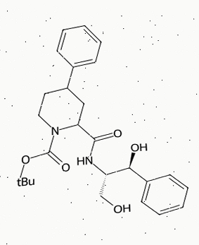 CC(C)(C)OC(=O)N1CCC(c2ccccc2)CC1C(=O)N[C@@H](CO)[C@@H](O)c1ccccc1